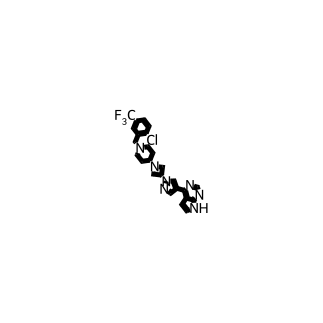 FC(F)(F)c1ccc(Cl)c(CN2CCC(N3CC(n4cc(-c5ncnc6[nH]ccc56)cn4)C3)CC2)c1